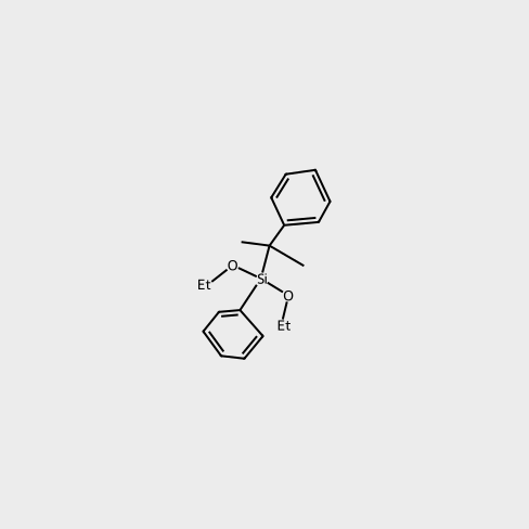 CCO[Si](OCC)(c1ccccc1)C(C)(C)c1ccccc1